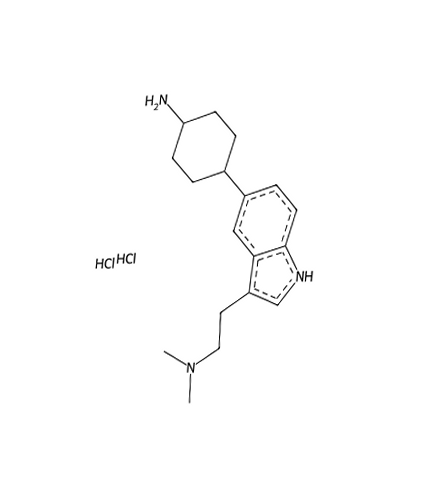 CN(C)CCc1c[nH]c2ccc(C3CCC(N)CC3)cc12.Cl.Cl